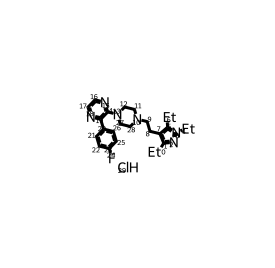 CCc1nn(CC)c(CC)c1CCN1CCN(c2nccnc2-c2ccc(F)cc2)CC1.Cl